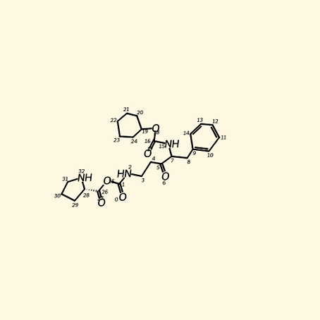 O=C(NCCC(=O)C(Cc1ccccc1)NC(=O)OC1CCCCC1)OC(=O)[C@@H]1CCCN1